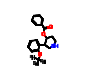 [2H]C([2H])([2H])Oc1ccccc1C1CNCCC1OC(=O)c1ccccc1